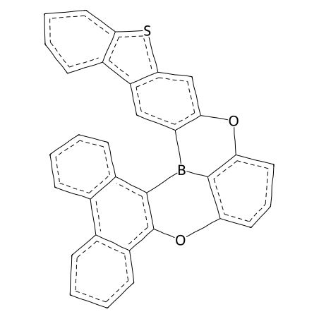 c1cc2c3c(c1)Oc1c(c4ccccc4c4ccccc14)B3c1cc3c(cc1O2)sc1ccccc13